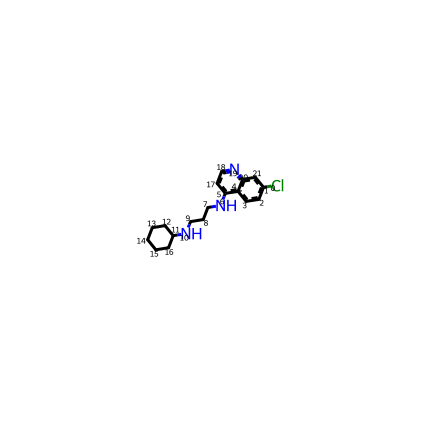 Clc1ccc2c(NCCCNC3CCCCC3)ccnc2c1